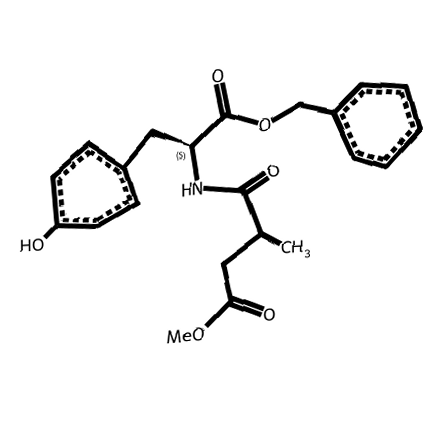 COC(=O)CC(C)C(=O)N[C@@H](Cc1ccc(O)cc1)C(=O)OCc1ccccc1